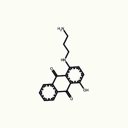 NCCCNc1ccc(O)c2c1C(=O)c1ccccc1C2=O